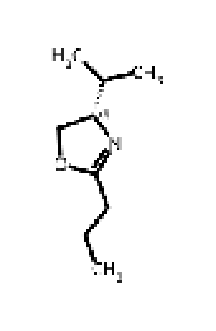 CCCC1=N[C@@H](C(C)C)CO1